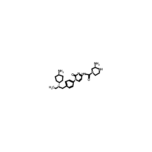 CCN(Cc1ccc(-n2ccc(NC(=O)N3CCN[C@H](N)C3)nc2=O)cc1)[C@H]1CC[C@H](N)CC1